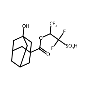 O=C(OC(C(F)(F)F)C(F)(F)S(=O)(=O)O)C12CC3CC(CC(O)(C3)C1)C2